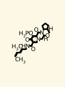 C/C=C\C=C(/C)CNC(=O)c1cn2c(c(OP)c1=O)C(=O)N1C3CCC[C@H]3CO[C@@H]1C2